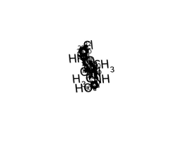 Cn1c(N[C@@H]2CC[C@H](O)C2)nc2c1c(=O)n(Cc1cc3cc(Cl)ccc3[nH]1)c(=O)n2C